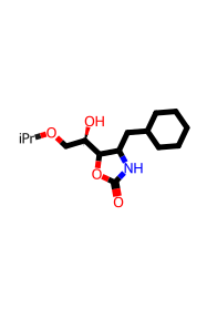 CC(C)OC[C@@H](O)C1OC(=O)NC1CC1CCCCC1